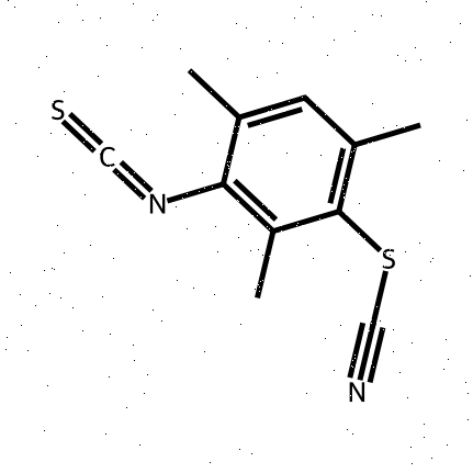 Cc1cc(C)c(SC#N)c(C)c1N=C=S